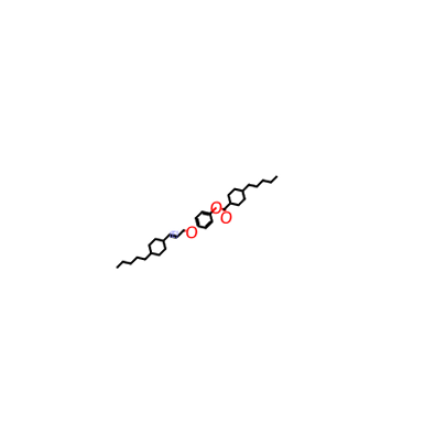 CCCCCC1CCC(/C=C/COc2ccc(OC(=O)C3CCC(CCCCC)CC3)cc2)CC1